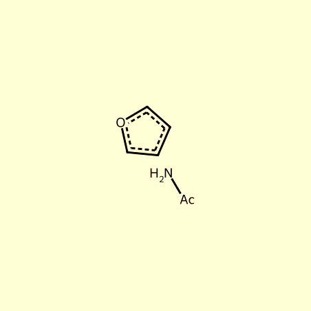 CC(N)=O.c1ccoc1